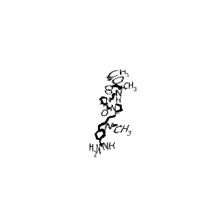 CCOC(=O)[C@H](C)NC(=O)CN1CCC[C@@H]1C(=O)N1CCC[C@H]1CCc1cc2ccc(C(=N)N)cc2n1CC